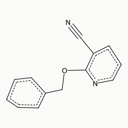 N#Cc1cccnc1OCc1ccccc1